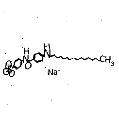 CCCCCCCCCCCCCCCCNc1ccc(C(=O)Nc2ccc(S(=O)(=O)[O-])cc2)cc1.[Na+]